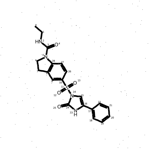 CCNC(=O)N1CCc2cc(S(=O)(=O)n3cc(-c4ccccc4)[nH]c3=O)ccc21